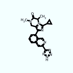 CC1C(=O)N(C)Cc2c(-c3cccc4cc(-c5nn[nH]n5)ncc34)nc(C3CC3)n21